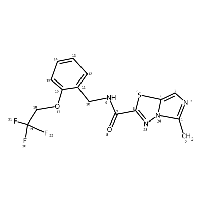 Cc1ncc2sc(C(=O)NCc3ccccc3OCC(F)(F)F)nn12